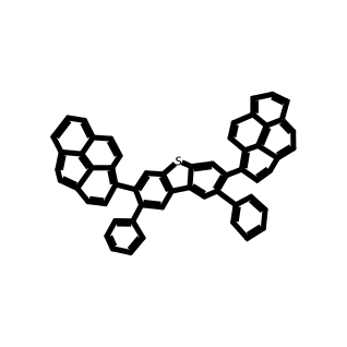 c1ccc(-c2cc3c(cc2-c2ccc4ccc5cccc6ccc2c4c56)sc2cc(-c4ccc5ccc6cccc7ccc4c5c67)c(-c4ccccc4)cc23)cc1